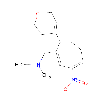 CN(C)CC1=CC([N+](=O)[O-])=CCC=C1C1=CCOCC1